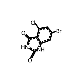 O=c1[nH]c(=O)c2c(Cl)cc(Br)cc2[nH]1